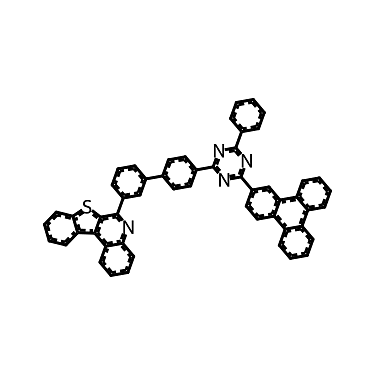 c1ccc(-c2nc(-c3ccc(-c4cccc(-c5nc6ccccc6c6c5sc5ccccc56)c4)cc3)nc(-c3ccc4c5ccccc5c5ccccc5c4c3)n2)cc1